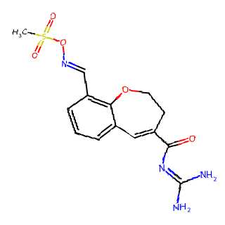 CS(=O)(=O)ON=Cc1cccc2c1OCCC(C(=O)N=C(N)N)=C2